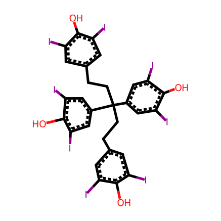 Oc1c(I)cc(CCC(CCc2cc(I)c(O)c(I)c2)(c2cc(I)c(O)c(I)c2)c2cc(I)c(O)c(I)c2)cc1I